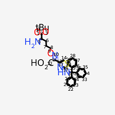 CC(C)(C)OC(=O)C(N)CCCO/N=C(\C(=O)O)c1csc(NC(c2ccccc2)(c2ccccc2)c2ccccc2)n1